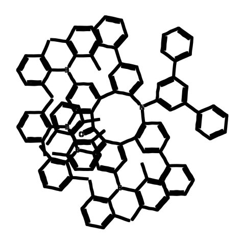 Cc1cccc(C)c1B(c1cc(B(c2c(C)cccc2C)c2c(C)cccc2C)c2c(=O)c3c(B(c4c(C)cccc4C)c4c(C)cccc4C)cc(B(c4c(C)cccc4C)c4c(C)cccc4C)cc3c3cc(-c4ccccc4)ccc3n(-c3cc(-c4ccccc4)cc(-c4ccccc4)c3)c3ccc(-c4ccccc4)cc3c2c1)c1c(C)cccc1C